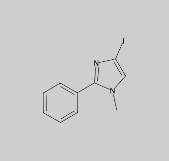 Cn1cc(I)nc1-c1ccccc1